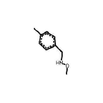 CONCc1ccc(C)cc1